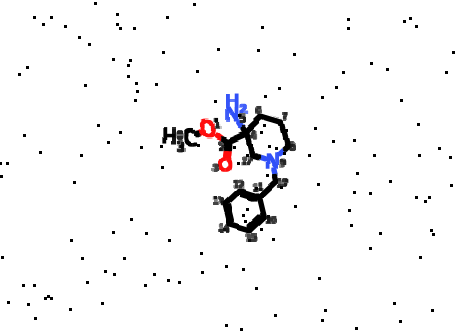 COC(=O)C1(N)CCCN(Cc2ccccc2)C1